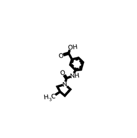 CC1CCN(C(=O)Nc2cccc(C(=O)O)c2)C1